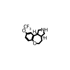 FC(F)(F)Oc1ccc2c(c1)[C@@H]1CNC[C@H]1CCO2